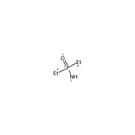 CCP([NH])(=O)CC